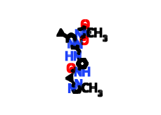 Cc1ccnc([C@H]2C[C@@H]2C(=O)Nc2cccc(NCc3cn4cc(C5CC5)cc(N5CC(=O)N(C)C5=O)c4n3)c2)n1